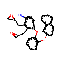 Nc1ccc(Oc2ccccc2Oc2ccc3ccccc3c2)c(CC2CO2)c1CC1CO1